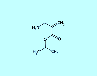 C=C(CN)C(=O)OC(C)C